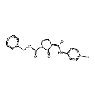 CC/C(Nc1ccc(Cl)cc1)=C1\CCN(C(=O)OCc2ccccc2)C1=O